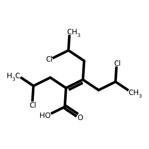 CC(Cl)CC(CC(C)Cl)=C(CC(C)Cl)C(=O)O